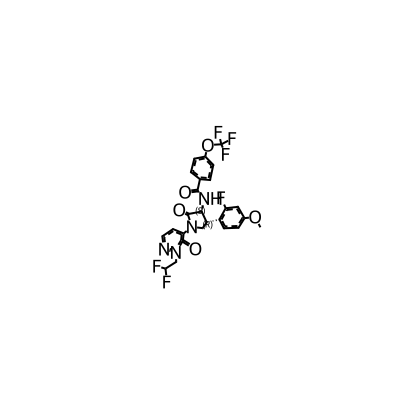 COc1ccc([C@@H]2CN(c3ccnn(CC(F)F)c3=O)C(=O)[C@H]2NC(=O)c2ccc(OC(F)(F)F)cc2)c(F)c1